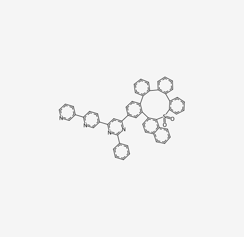 O=S1(=O)c2ccccc2-c2ccccc2-c2ccccc2-c2ccc(-c3cc(-c4ccc(-c5cccnc5)nc4)nc(-c4ccccc4)n3)cc2-c2ccc3ccccc3c21